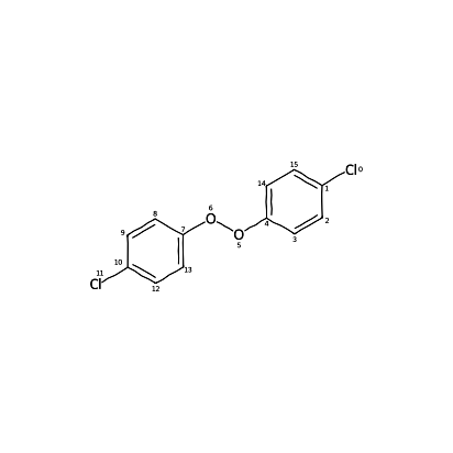 Clc1ccc(OOc2ccc(Cl)cc2)cc1